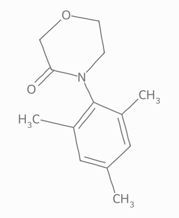 Cc1cc(C)c(N2CCOCC2=O)c(C)c1